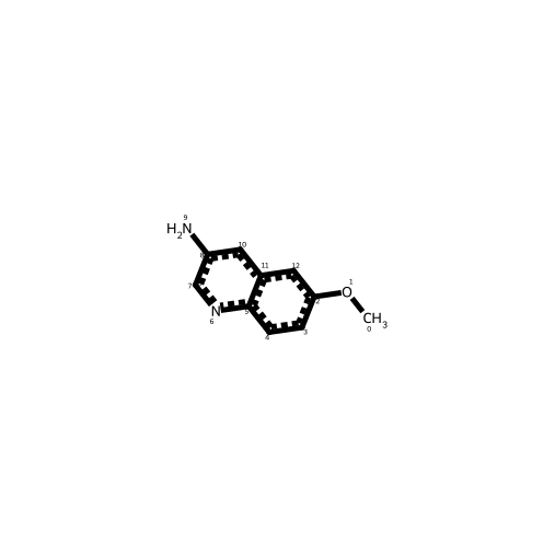 COc1ccc2ncc(N)cc2c1